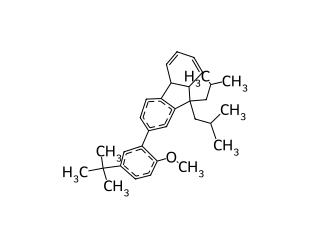 COc1ccc(C(C)(C)C)cc1-c1ccc2c(c1)C(CC(C)C)(CC(C)C)C1C=CC=CC21